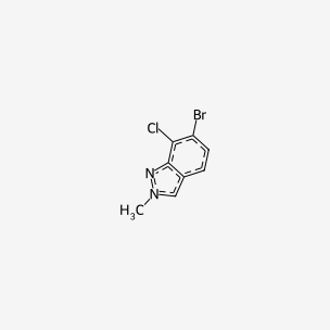 Cn1cc2ccc(Br)c(Cl)c2n1